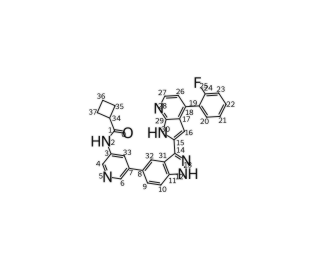 O=C(Nc1cncc(-c2ccc3[nH]nc(-c4cc5c(-c6ccccc6F)ccnc5[nH]4)c3c2)c1)C1CCC1